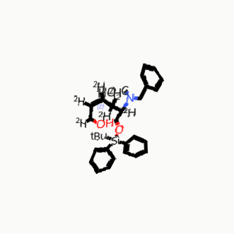 [2H]/C(=C(\[2H])C([2H])([2H])[C@@]([2H])(CO[Si](c1ccccc1)(c1ccccc1)C(C)(C)C)N(Cc1ccccc1)C(=O)O)C([2H])O